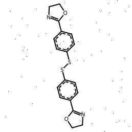 c1cc(C2=NCCO2)ccc1SSc1ccc(C2=NCCO2)cc1